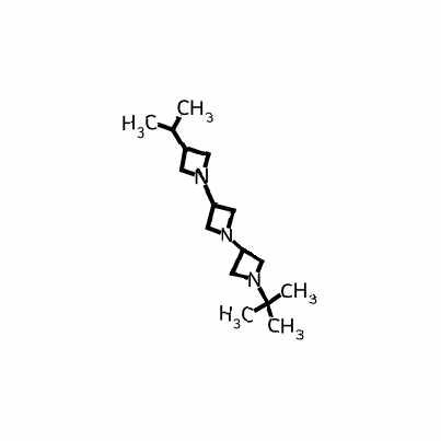 CC(C)C1CN(C2CN(C3CN(C(C)(C)C)C3)C2)C1